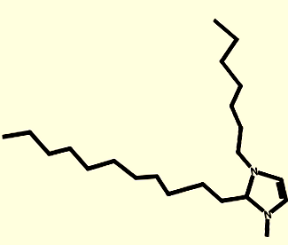 CCCCCCCCCCCC1N(C)C=CN1CCCCCCC